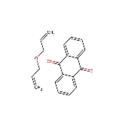 C=CCOCC=C.O=C1c2ccccc2C(=O)c2ccccc21